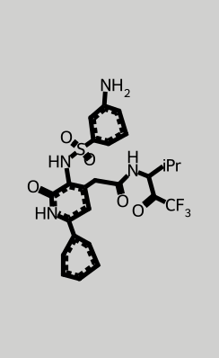 CC(C)C(NC(=O)Cc1cc(-c2ccccc2)[nH]c(=O)c1NS(=O)(=O)c1cccc(N)c1)C(=O)C(F)(F)F